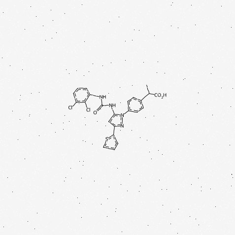 CC(C(=O)O)c1ccc(-n2nc(-c3cccs3)cc2NC(=O)Nc2cccc(Cl)c2Cl)cc1